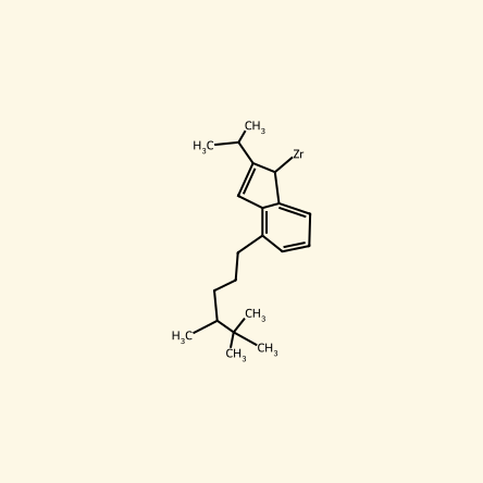 CC(C)C1=Cc2c(CCCC(C)C(C)(C)C)cccc2[CH]1[Zr]